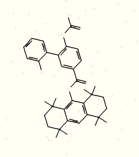 CC1(C)CCC(C)(C)c2c1cc1c(c2NC(=O)c2ccc(NC(N)=O)c(-c3ccccc3N)c2)C(C)(C)CCC1(C)C